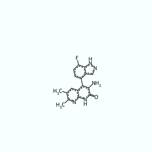 Cc1cc2c(-c3ccc(F)c4[nH]ncc34)c(N)c(=O)[nH]c2nc1C